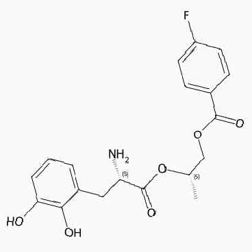 C[C@@H](COC(=O)c1ccc(F)cc1)OC(=O)[C@@H](N)Cc1cccc(O)c1O